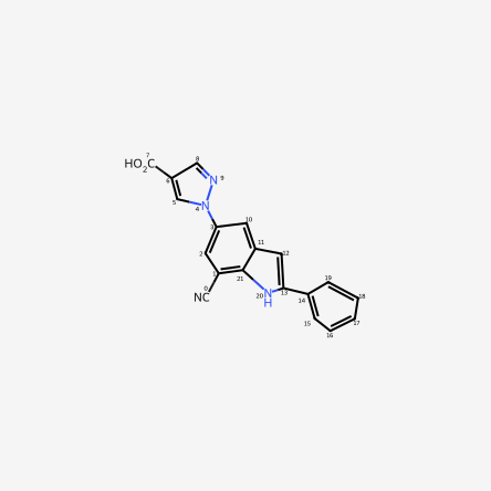 N#Cc1cc(-n2cc(C(=O)O)cn2)cc2cc(-c3ccccc3)[nH]c12